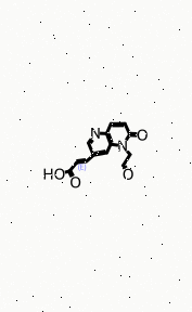 O=CCn1c(=O)ccc2ncc(/C=C/C(=O)O)cc21